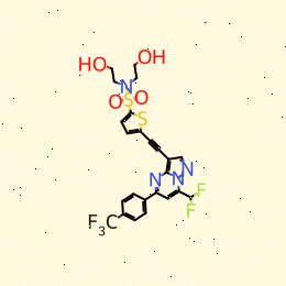 O=S(=O)(c1ccc(C#Cc2cnn3c(C(F)F)cc(-c4ccc(C(F)(F)F)cc4)nc23)s1)N(CCO)CCO